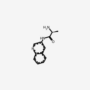 C[C@H](N)C(=O)Nc1cnc2ccccc2c1